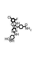 NC(=O)C1CCC(n2c(Nc3c(F)cc(Cl)cc3Cl)nc3cnc(NC4CCS(O)(O)CC4)nc32)CC1